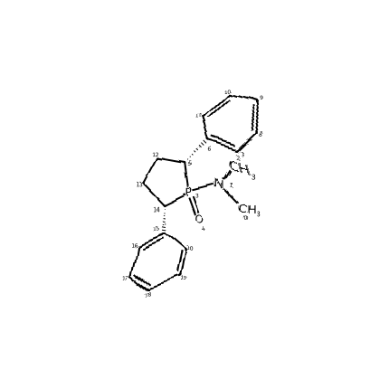 CN(C)P1(=O)[C@@H](c2ccccc2)CC[C@H]1c1ccccc1